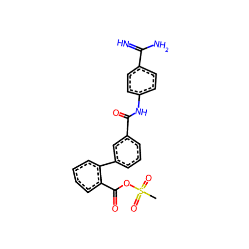 CS(=O)(=O)OC(=O)c1ccccc1-c1cccc(C(=O)Nc2ccc(C(=N)N)cc2)c1